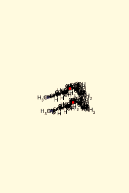 C/C=C/C(=O)SCCNC(=O)CCNC(=O)C(O)C(C)(C)COP(=O)(O)OP(=O)(O)OC[C@H]1O[C@@H](n2cnc3c(N)ncnc32)[C@H](O)[C@@H]1OP(=O)(O)O.C/C=C/CSCCNC(=O)CCNC(=O)C(O)C(C)(C)COP(=O)(O)OP(=O)(O)OC[C@H]1O[C@@H](n2cnc3c(N)ncnc32)[C@H](O)[C@@H]1OP(=O)(O)O